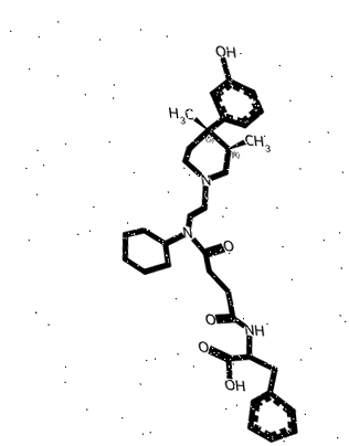 C[C@H]1CN(CCN(C(=O)CCC(=O)NC(Cc2ccccc2)C(=O)O)C2CCCCC2)CC[C@]1(C)c1cccc(O)c1